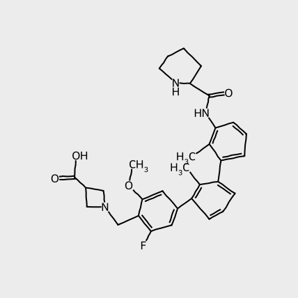 COc1cc(-c2cccc(-c3cccc(NC(=O)C4CCCCN4)c3C)c2C)cc(F)c1CN1CC(C(=O)O)C1